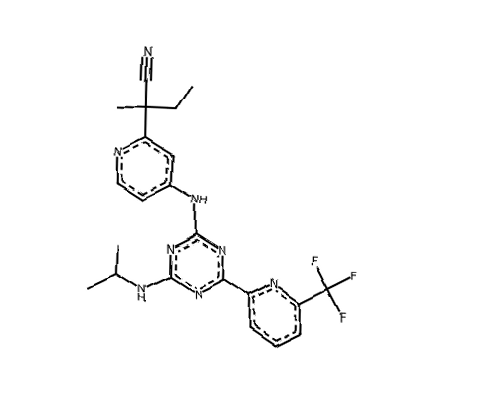 CCC(C)(C#N)c1cc(Nc2nc(NC(C)C)nc(-c3cccc(C(F)(F)F)n3)n2)ccn1